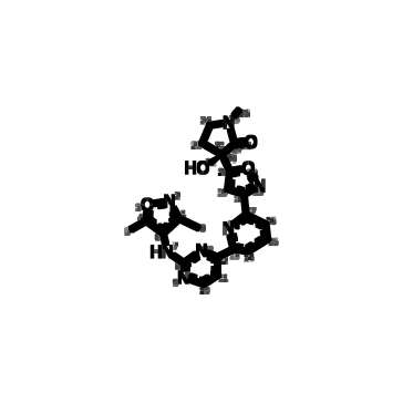 Cc1noc(C)c1Nc1nccc(-c2cccc(-c3cc([C@]4(O)CCN(C)C4=O)on3)n2)n1